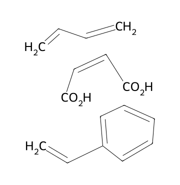 C=CC=C.C=Cc1ccccc1.O=C(O)/C=C\C(=O)O